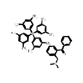 C[S+](C)Cc1ccccc1C(=O)c1ccccc1.FC(F)(F)c1cc([B-](c2cc(C(F)(F)F)cc(C(F)(F)F)c2)(c2cc(C(F)(F)F)cc(C(F)(F)F)c2)c2cc(C(F)(F)F)cc(C(F)(F)F)c2)cc(C(F)(F)F)c1